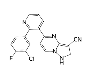 N#CC1=C2N=C(c3cccnc3-c3ccc(F)c(Cl)c3)C=CN2NC1